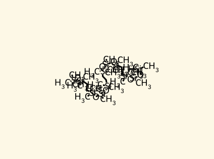 C[SiH](C)O[Si](C)(C)O[Si](C)(C)CC[Si](C)(C)O[Si](C)(C)O[Si](C)(C)CC[Si](C)(C)O[Si](C)(C)O[Si](C)(C)CC[Si](C)(C)O[Si](C)(C)C